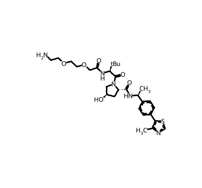 Cc1ncsc1-c1ccc([C@H](C)NC(=O)[C@@H]2C[C@@H](O)CN2C(=O)[C@@H](NC(=O)COCCOCCN)C(C)(C)C)cc1